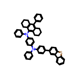 c1ccc(-c2c3c(c(N(c4ccccc4)c4ccc(N(c5ccccc5)c5ccc(-c6ccc7sc8ccccc8c7c6)cc5)cc4)c4c2CCCC4)CCCC3)cc1